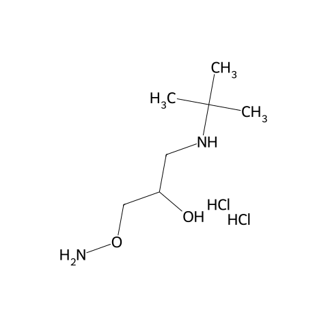 CC(C)(C)NCC(O)CON.Cl.Cl